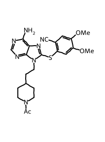 COc1cc(C#N)c(Sc2nc3c(N)ncnc3n2CCC2CCN(C(C)=O)CC2)cc1OC